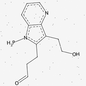 O=CCCc1c(CCO)c2ncccc2n1P